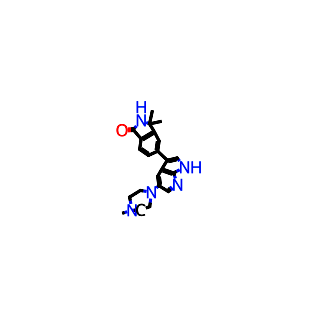 CN1CCN(c2cnc3[nH]cc(-c4ccc5c(c4)C(C)(C)NC5=O)c3c2)CC1